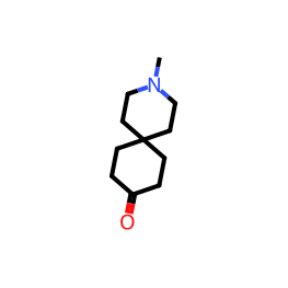 CN1CCC2(CCC(=O)CC2)CC1